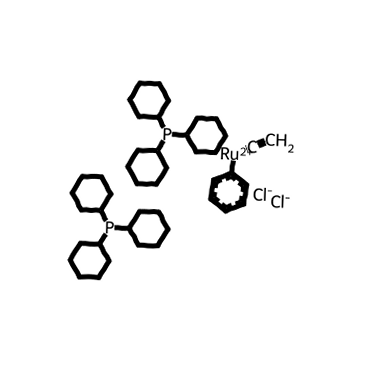 C1CCC(P(C2CCCCC2)C2CCCCC2)CC1.C1CCC(P(C2CCCCC2)C2CCCCC2)CC1.C=[C]=[Ru+2][c]1ccccc1.[Cl-].[Cl-]